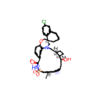 C[C@@H]1/C=C\CC(O)[C@@H]2CC[C@H]2CN2C[C@@]3(CCCc4cc(Cl)ccc43)COc3ccc(cc32)C(=O)NS(=O)(=O)C1